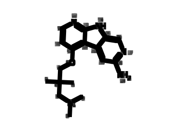 CN(C)CC(C)(C)COc1ccnc2[nH]c3cnc(N)cc3c12